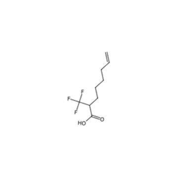 C=CCCCCC(C(=O)O)C(F)(F)F